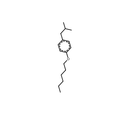 CCCCCCOc1ccc(CC(C)C)cc1